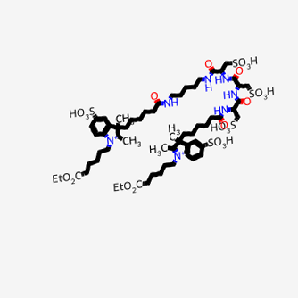 CCOC(=O)CCCCC[N+]1=C(C)C(C)(CCCCCC(=O)NCCCCCNC(=O)C(CS(=O)(=O)O)NC(=O)C(CS(=O)(=O)O)NC(=O)C(CS(=O)(=O)O)NC(=O)CCCCCC2(C)C(C)=[N+](CCCCCC(=O)OCC)c3ccc(S(=O)(=O)O)cc32)c2cc(S(=O)(=O)O)ccc21